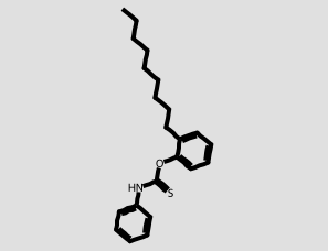 CCCCCCCCCc1ccccc1OC(=S)Nc1ccccc1